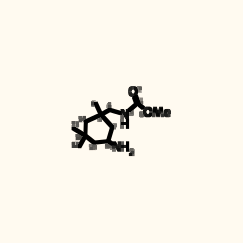 COC(=O)NCC1(C)CC(N)CC(C)(C)C1